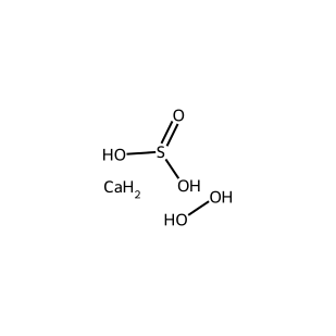 O=S(O)O.OO.[CaH2]